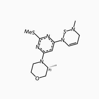 CSc1nc(N2C=CCN(C)S2)cc(N2CCOC[C@H]2C)n1